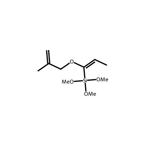 C=C(C)CO/C(=C/C)[Si](OC)(OC)OC